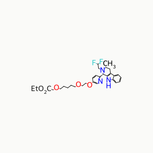 CCOC(=O)COCCCCCOCCOc1ccc([C@@H]2c3[nH]c4ccccc4c3C[C@@H](C)N2CC(F)F)nc1